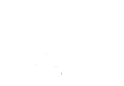 CCOC(=O)[C@H](CCc1ccccc1)N[C@@H](C)C(=O)[C@]12CCC[C@H]1C[C@H](OC(=O)OC1COC(c3ccccc3)OC1)N2